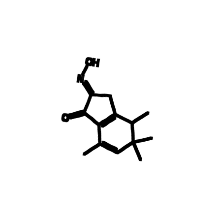 CC1=CC(C)(C)C(C)C2=C1C(=O)C(=NO)C2